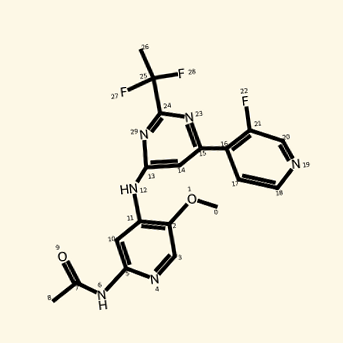 COc1cnc(NC(C)=O)cc1Nc1cc(-c2ccncc2F)nc(C(C)(F)F)n1